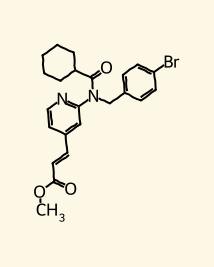 COC(=O)/C=C/c1ccnc(N(Cc2ccc(Br)cc2)C(=O)C2CCCCC2)c1